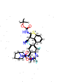 CC(C)(C)OC(=O)Nc1sc2cccc(-c3c(F)cc4c(N5CC6CCC(C5)N6C(=O)OC(C)(C)C)nc(F)nc4c3F)c2c1C#N